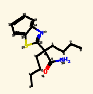 CCCCC(CCCC)(C(N)=O)c1nc2ccccc2s1